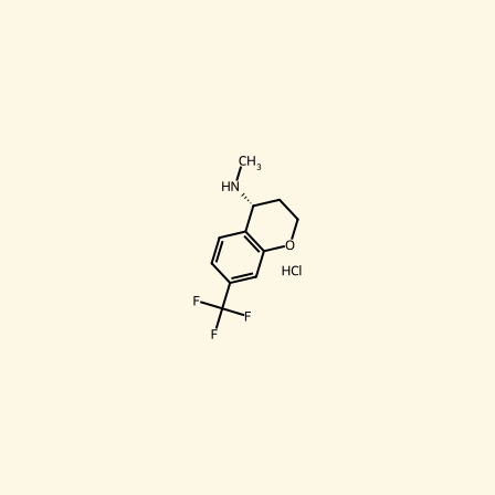 CN[C@@H]1CCOc2cc(C(F)(F)F)ccc21.Cl